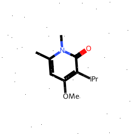 COc1cc(C)n(C)c(=O)c1C(C)C